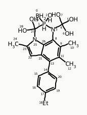 B[PH]1(O)N(C(O)(O)O)c2c(C)c(C)c(-c3ccc(CC)cc3)c3cc(C)n(c23)C1(O)O